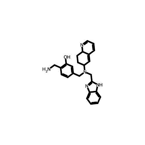 NCc1ccc(CN(Cc2nc3ccccc3[nH]2)C2C=C3C=CC=NC3CC2)cc1O